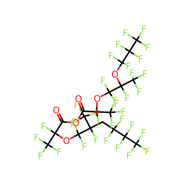 O=C(OC(=O)C(F)(OC(F)(F)C(F)(OC(F)(F)C(F)(F)C(F)(F)F)C(F)(F)F)C(F)(F)F)C(F)(OC(F)(F)C(F)(CC(F)(F)C(F)(F)C(F)(F)F)C(F)(F)F)C(F)(F)F